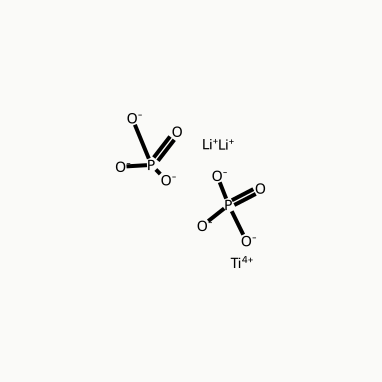 O=P([O-])([O-])[O-].O=P([O-])([O-])[O-].[Li+].[Li+].[Ti+4]